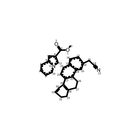 COC(=O)c1cc2ccccn2c1.N#CCc1ccc2ccc3c(c2c1)CCC1=C3C=CCC1